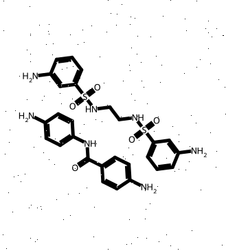 Nc1ccc(NC(=O)c2ccc(N)cc2)cc1.Nc1cccc(S(=O)(=O)NCCNS(=O)(=O)c2cccc(N)c2)c1